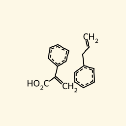 C=C(C(=O)O)c1ccccc1.C=CCc1ccccc1